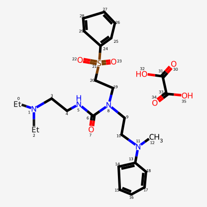 CCN(CC)CCNC(=O)N(CCN(C)c1ccccc1)CCS(=O)(=O)c1ccccc1.O=C(O)C(=O)O